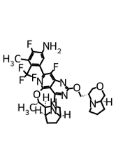 Cc1c(F)c(N)cc(-c2nc3c4c(nc(OC[C@@H]5COC[C@H]6CCCN65)nc4c2F)N2C[C@H]4CC[C@H](N4)[C@H]2[C@H](C)O3)c1C(F)(F)F